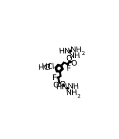 Cl.Cl.N=C(N)NOC(=O)C(F)Cc1cccc(CC(F)C(=O)ONC(=N)N)c1